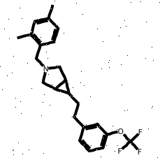 Cc1ccc(CN2CC3C(C[CH]c4cccc(OC(F)(F)F)c4)C3C2)c(C)c1